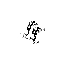 NC(Cc1ccc(O)c(-c2cc[nH]n2)c1)C(=O)O.NC(Cc1ccc(O)c(-c2cc[nH]n2)c1)C(=O)O